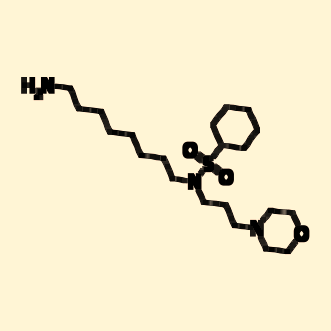 NCCCCCCCCN(CCCN1CCOCC1)S(=O)(=O)C1CCCCC1